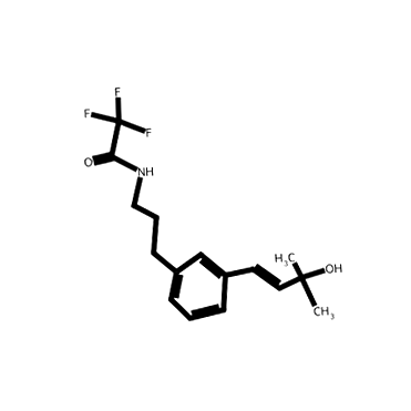 CC(C)(O)/C=C/c1cccc(CCCNC(=O)C(F)(F)F)c1